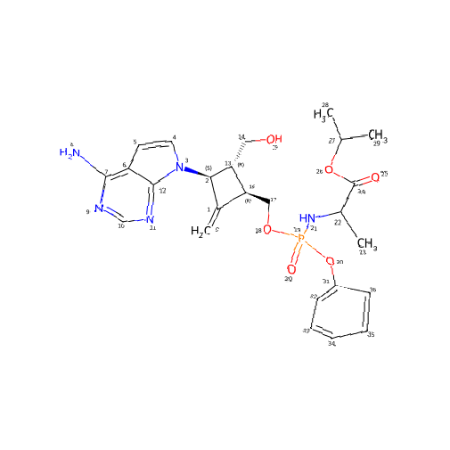 C=C1[C@@H](n2ccc3c(N)ncnc32)[C@H](CO)[C@H]1COP(=O)(NC(C)C(=O)OC(C)C)Oc1ccccc1